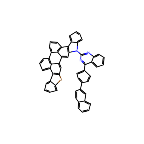 c1ccc2cc(-c3ccc(-c4nc(-n5c6ccccc6c6c7cccc8c9cccc%10c%11c(cc(c(cc65)c87)c9%10)sc5ccccc5%11)nc5ccccc45)cc3)ccc2c1